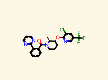 C[C@H]1[C@H](Oc2ncc(C(F)(F)F)cc2Cl)CCCN1C(=O)c1ccccc1-c1ncccn1